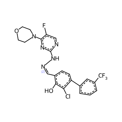 Oc1c(/C=N\Nc2ncc(F)c(N3CCOCC3)n2)ccc(-c2cccc(C(F)(F)F)c2)c1Cl